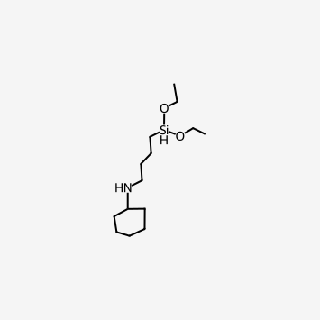 CCO[SiH](CCCCNC1CCCCC1)OCC